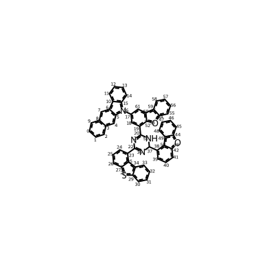 c1ccc2cc3c(cc2c1)c1ccccc1n3-c1cc(C2=NC(c3cccc4sc5ccccc5c34)=NC(c3cccc4oc5ccccc5c34)N2)c2oc3ccccc3c2c1